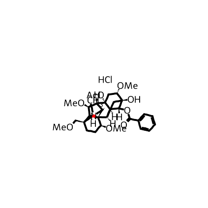 COC[C@@]12CC[C@H](OC)[C@]34C([C@H]([C@H](OC)[C@H]13)[C@@]1(OC(C)=O)C[C@H](OC)[C@@]3(O)C[C@@H]4[C@@H]1[C@H]3OC(=O)c1ccccc1)N(C)C2.Cl